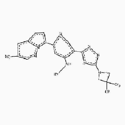 CC(C)Nc1cc(-c2ccc3cc(C#N)cnn23)ncc1-c1nnc(N2CC(O)(C(F)(F)F)C2)s1